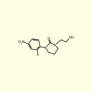 Cc1cc([N+](=O)[O-])ccc1N1CCCN(CCO)C1=O